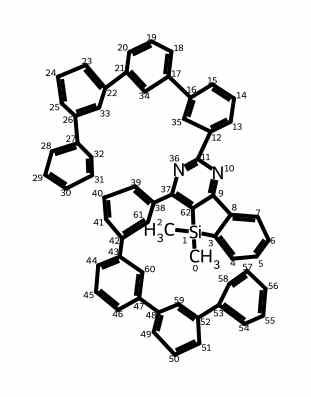 C[Si]1(C)c2ccccc2-c2nc(-c3cccc(-c4cccc(-c5cccc(-c6ccccc6)c5)c4)c3)nc(-c3cccc(-c4cccc(-c5cccc(-c6ccccc6)c5)c4)c3)c21